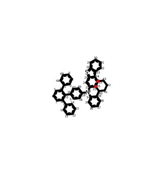 c1ccc(-c2cccc(-c3ccccc3)c2-c2ccc(N(c3ccc4c(c3)sc3ccccc34)c3ccccc3C3CCCCC3)cc2)cc1